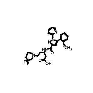 COc1ccccc1-c1cc(C(=O)NC(CCN2CCCC(F)(F)C2)CC(=O)O)nn1-c1ccccn1